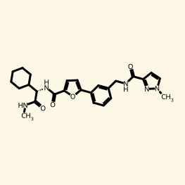 CNC(=O)[C@@H](NC(=O)c1ccc(-c2cccc(CNC(=O)c3ccn(C)n3)c2)o1)C1CCCCC1